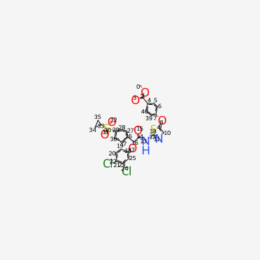 COC(=O)c1ccc(Oc2cnc(NC(=O)C(Oc3ccc(Cl)c(Cl)c3)c3ccc(S(=O)(=O)C4CC4)cc3)s2)cc1